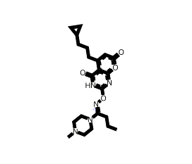 CCC/C(=N\Oc1nc2oc(=O)cc(CCCC3CC3)c2c(=O)[nH]1)N1CCN(C)CC1